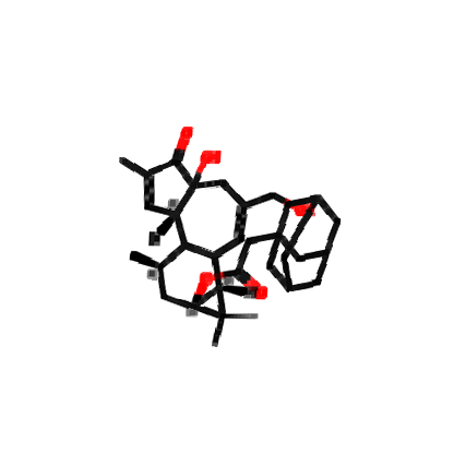 CC1=C[C@H]2C3C(C=C(CO)CC2(O)C1=O)[C@@H]1C(C)(C)[C@]1(OC(=O)CC12CC4CC(CC(C4)C1)C2)C[C@H]3C